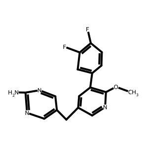 COc1ncc(Cc2cnc(N)nc2)cc1-c1ccc(F)c(F)c1